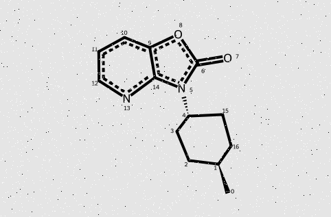 C[C@H]1CC[C@H](n2c(=O)oc3cccnc32)CC1